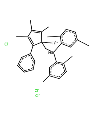 CC1=C(C)[C]([Ti+3])(C[SiH](c2cc(C)ccc2C)c2cc(C)ccc2C)C(c2ccccc2)=C1C.[Cl-].[Cl-].[Cl-]